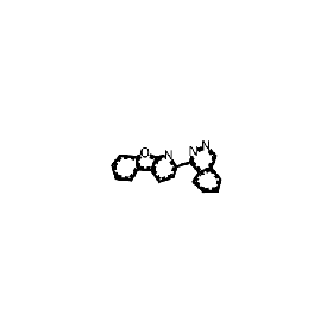 c1ccc2c(-c3ccc4c(n3)oc3ccccc34)nncc2c1